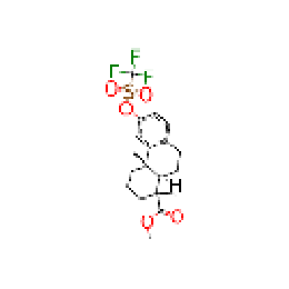 COC(=O)C1(C)CCC[C@]2(C)c3cc(OS(=O)(=O)C(F)(F)F)ccc3CC[C@@H]12